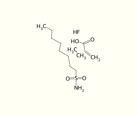 C=CC(=O)O.CC.CCCCCCCCS(N)(=O)=O.F